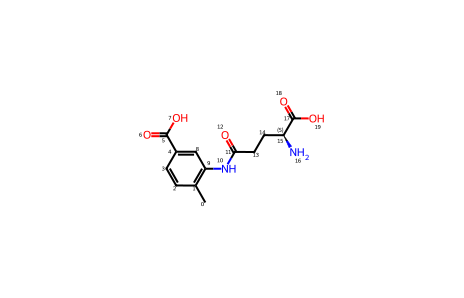 Cc1ccc(C(=O)O)cc1NC(=O)CC[C@H](N)C(=O)O